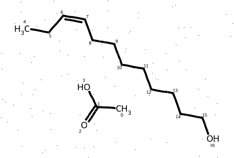 CC(=O)O.CC/C=C\CCCCCCCCO